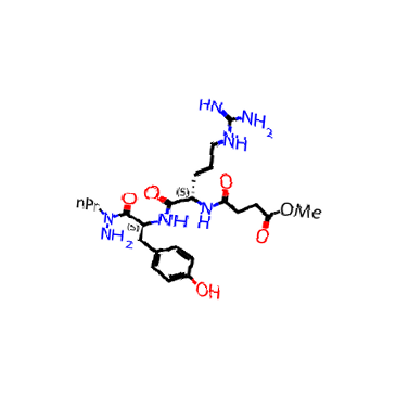 CCCN(N)C(=O)[C@H](Cc1ccc(O)cc1)NC(=O)[C@H](CCCNC(=N)N)NC(=O)CCC(=O)OC